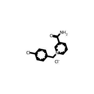 NC(=O)c1ccc[n+](Cc2ccc(Cl)cc2)c1.[Cl-]